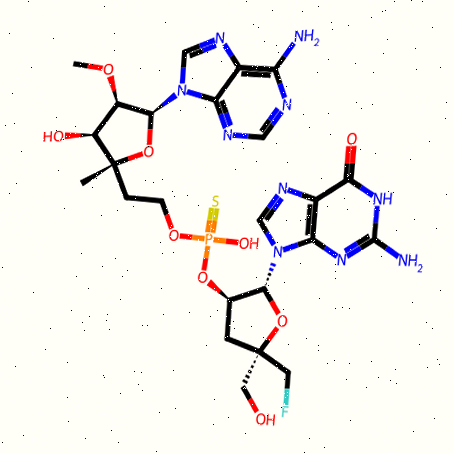 CO[C@H]1[C@@H](n2cnc3c(N)ncnc32)O[C@](C)(CCOP(O)(=S)O[C@@H]2C[C@](CO)(CF)O[C@H]2n2cnc3c(=O)[nH]c(N)nc32)[C@H]1O